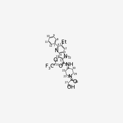 CCc1cc2c(nc1-c1ccccc1)c(OCC(F)(F)F)c(C(=O)NC1CCN(C(=O)CO)CC1)n2C